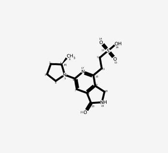 C[C@@H]1CCCN1c1cc2c(c(CCS(=O)(=O)O)n1)CNC2=O